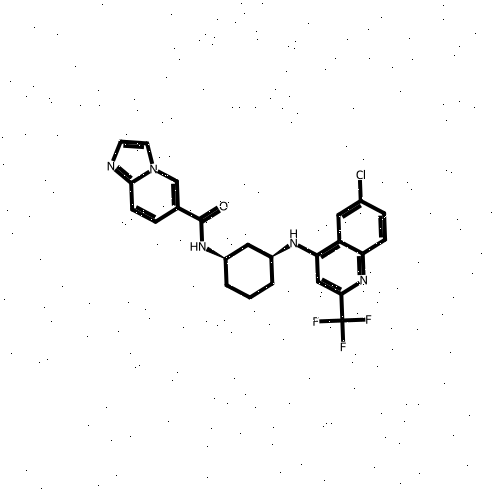 O=C(N[C@@H]1CCC[C@H](Nc2cc(C(F)(F)F)nc3ccc(Cl)cc23)C1)c1ccc2nccn2c1